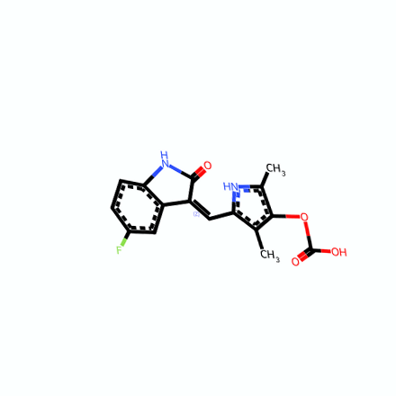 Cc1[nH]c(/C=C2\C(=O)Nc3ccc(F)cc32)c(C)c1OC(=O)O